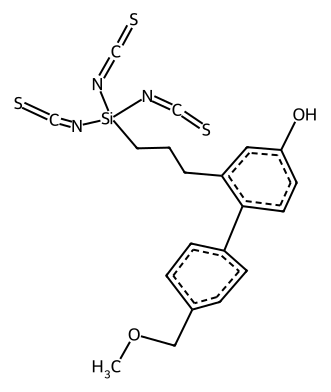 COCc1ccc(-c2ccc(O)cc2CCC[Si](N=C=S)(N=C=S)N=C=S)cc1